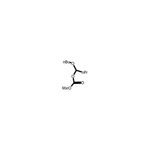 CCCCOC(CCC)OC(=O)OC